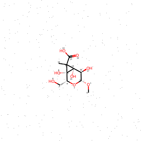 CO[C@@H]1O[C@H](CO)[C@@]2(O)C(C)(C(=O)O)[C@@]2(O)[C@H]1O